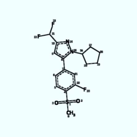 CS(=O)(=O)c1ccc(-c2cc(C(F)F)nn2C2CCCC2)cc1F